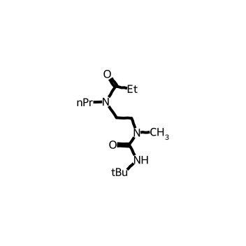 CCCN(CCN(C)C(=O)NC(C)(C)C)C(=O)CC